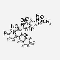 CS(=O)(=O)Nc1ccc2c(c1)S(=O)(=O)N=C(c1c(O)n3cc(F)ccc3c(Cc3ccc(F)cc3)c1=O)N2